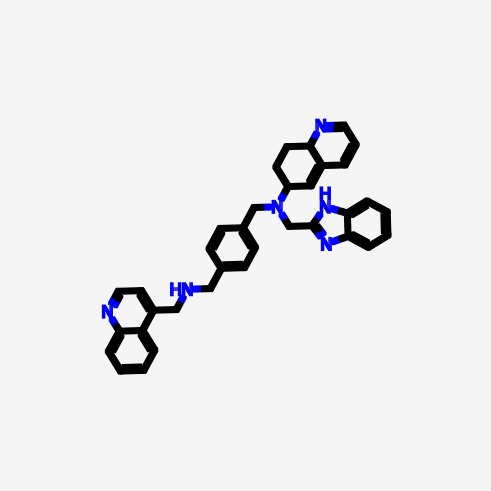 C1=CC2=CC(N(Cc3ccc(CNCc4ccnc5ccccc45)cc3)Cc3nc4ccccc4[nH]3)CCC2N=C1